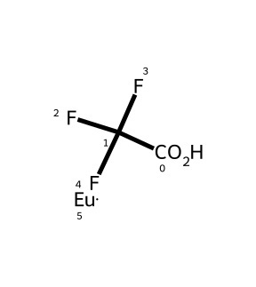 O=C(O)C(F)(F)F.[Eu]